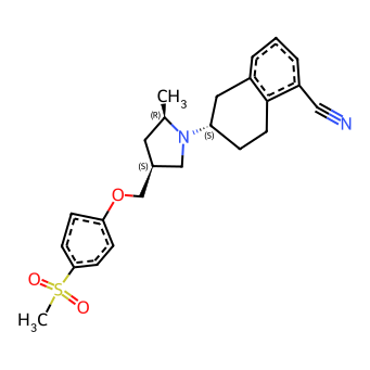 C[C@@H]1C[C@H](COc2ccc(S(C)(=O)=O)cc2)CN1[C@H]1CCc2c(C#N)cccc2C1